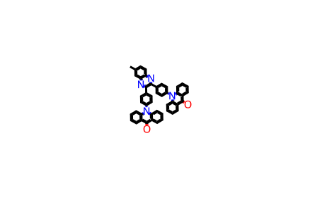 Cc1ccc2nc(-c3ccc(-n4c5ccccc5c(=O)c5ccccc54)cc3)c(-c3ccc(-n4c5ccccc5c(=O)c5ccccc54)cc3)nc2c1